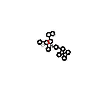 c1ccc(N(c2ccc(-c3cccc4c3-c3ccccc3C43c4ccccc4-c4ccccc43)cc2)c2ccc(-c3cccc4ccccc34)cc2)c(-c2cccc3c2oc2ccccc23)c1